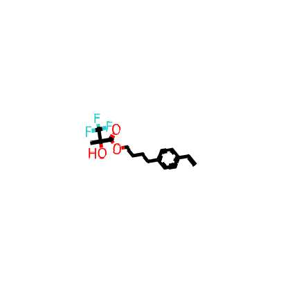 C=Cc1ccc(CCCCOC(=O)C(C)(O)C(F)(F)F)cc1